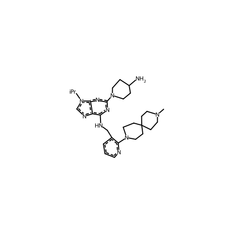 CC(C)n1cnc2c(NCc3cccnc3N3CCC4(CCN(C)CC4)CC3)nc(N3CCC(N)CC3)nc21